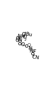 CC(C)(C)OC(=O)CC[C@@H](C(N)=O)N1Cc2c(OCc3ccc4c(c3)CCCC4N3CCN(c4ccc(C#N)cc4F)CC3)cccc2C1=O